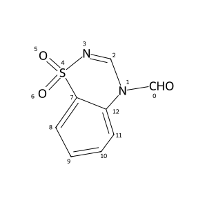 O=CN1C=NS(=O)(=O)c2ccccc21